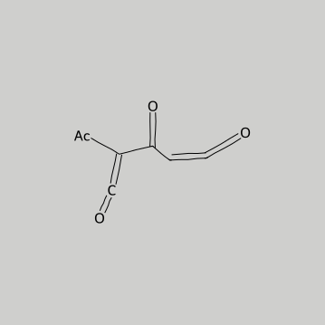 CC(=O)C(=C=O)C(=O)C=C=O